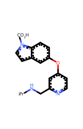 CC(C)NCc1cc(Oc2ccc3c(ccn3C(=O)O)c2)ccn1